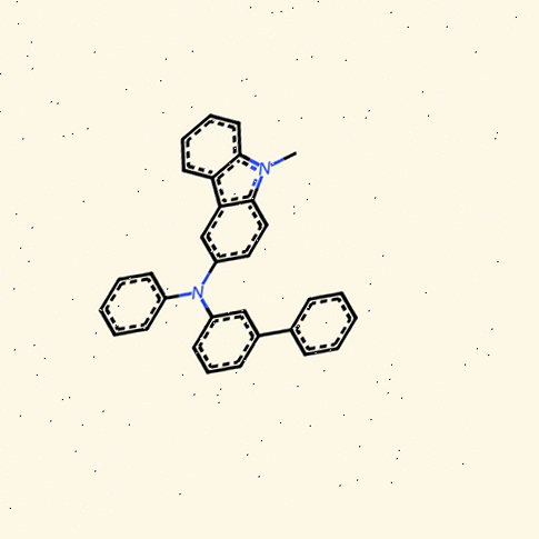 Cn1c2ccccc2c2cc(N(c3ccccc3)c3cccc(-c4ccccc4)c3)ccc21